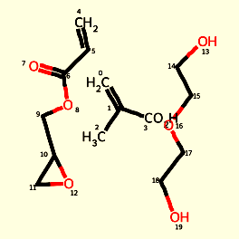 C=C(C)C(=O)O.C=CC(=O)OCC1CO1.OCCOCCO